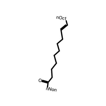 CCCCCCCCC=CCCCCCCCC(=O)CCCCCCCCC